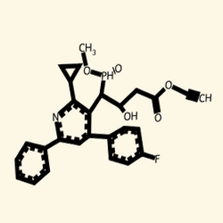 C#COC(=O)CC(O)C(c1c(-c2ccc(F)cc2)cc(-c2ccccc2)nc1C1CC1)[PH](=O)OC